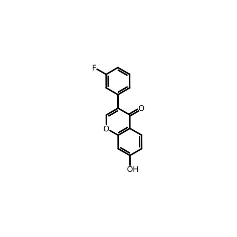 O=c1c(-c2cccc(F)c2)coc2cc(O)ccc12